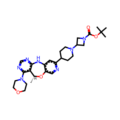 C[C@H]1Oc2cnc(C3CCN(C4CN(C(=O)OC(C)(C)C)C4)CC3)cc2Nc2ncnc(N3CCOCC3)c21